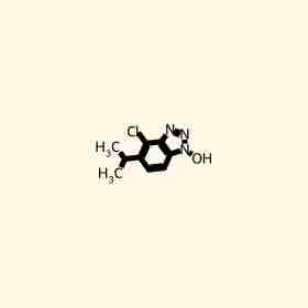 CC(C)c1ccc2c(nnn2O)c1Cl